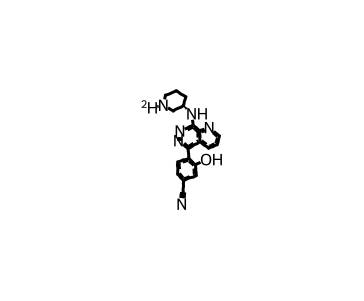 [2H]N1CCC[C@@H](Nc2nnc(-c3ccc(C#N)cc3O)c3cccnc23)C1